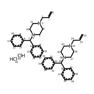 C=CCN1CCN(C(c2ccccc2)c2ccccc2)CC1.C=CCN1CCN(C(c2ccccc2)c2ccccc2)CC1.Cl.Cl